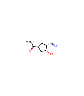 COC(=O)C1C[C@H](O)[C@@H](C=N)C1